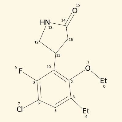 CCOc1c(CC)cc(Cl)c(F)c1C1CNC(=O)C1